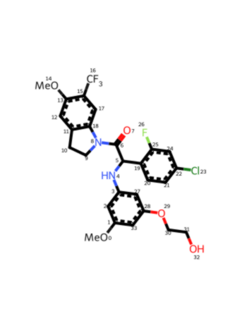 COc1cc(NC(C(=O)N2CCc3cc(OC)c(C(F)(F)F)cc32)c2ccc(Cl)cc2F)cc(OCCO)c1